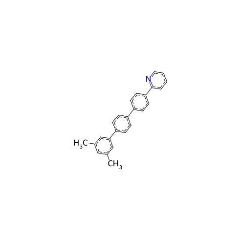 Cc1cc(C)cc(-c2ccc(-c3ccc(-c4ccccn4)cc3)cc2)c1